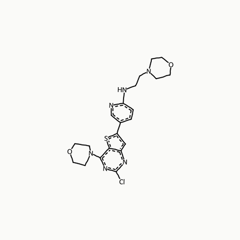 Clc1nc(N2CCOCC2)c2sc(-c3ccc(NCCN4CCOCC4)nc3)cc2n1